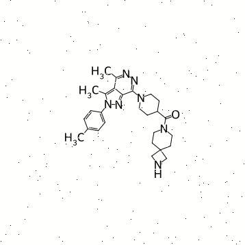 Cc1ccc(-n2nc3c(N4CCC(C(=O)N5CCC6(CC5)CNC6)CC4)nnc(C)c3c2C)cc1